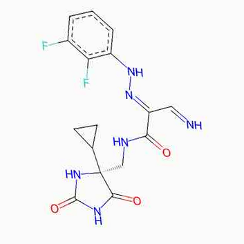 N=C/C(=N\Nc1cccc(F)c1F)C(=O)NC[C@@]1(C2CC2)NC(=O)NC1=O